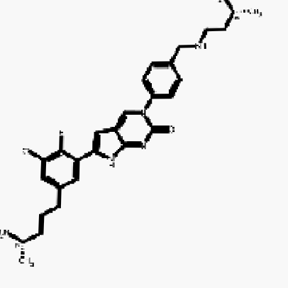 C[C@H](N)CCCc1cc(Cl)c(F)c(-c2cc3cn(-c4ccc(CNCC[C@@H](C)N)cc4)c(=O)nc3[nH]2)c1